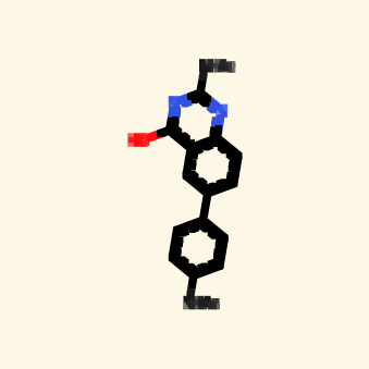 CC(=O)Nc1ccc(-c2ccc3nc(NC(C)=O)nc(O)c3c2)cc1